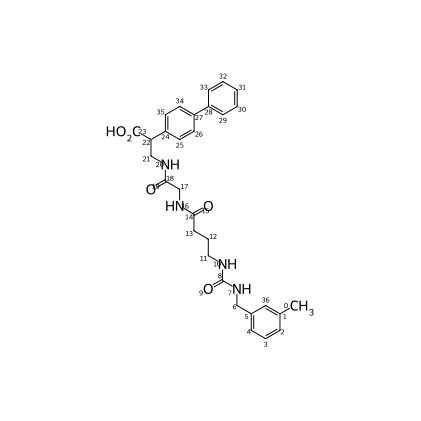 Cc1cccc(CNC(=O)NCCCC(=O)NCC(=O)NCC(C(=O)O)c2ccc(-c3ccccc3)cc2)c1